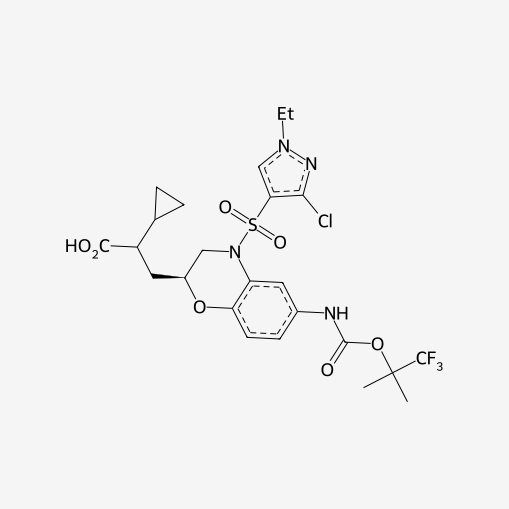 CCn1cc(S(=O)(=O)N2C[C@H](CC(C(=O)O)C3CC3)Oc3ccc(NC(=O)OC(C)(C)C(F)(F)F)cc32)c(Cl)n1